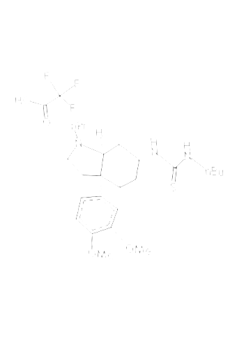 CCCCNC(=S)N[C@@H]1CC[C@@]2(c3ccc(OC)c(OC)c3)CCN(CCC)[C@H]2C1.O=C(O)C(F)(F)F